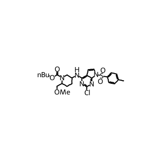 CCCCOC(=O)N1CC(Nc2nc(Cl)nc3c2ccn3S(=O)(=O)c2ccc(C)cc2)CCC1COC